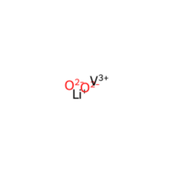 [Li+].[O-2].[O-2].[V+3]